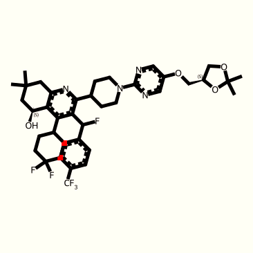 CC1(C)Cc2nc(C3CCN(c4ncc(OC[C@H]5COC(C)(C)O5)cn4)CC3)c(C(F)c3ccc(C(F)(F)F)cc3)c(C3CCC(F)(F)CC3)c2[C@@H](O)C1